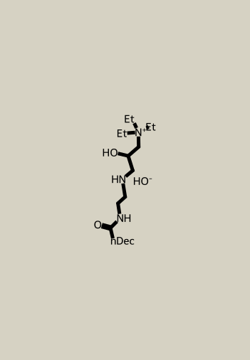 CCCCCCCCCCC(=O)NCCNCC(O)C[N+](CC)(CC)CC.[OH-]